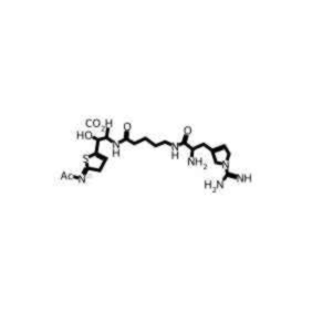 CC(=O)/N=C1/CC=C(C(O)C(NC(=O)CCCCNC(=O)C(N)CC2=CCN(C(=N)N)C2)C(=O)O)S1